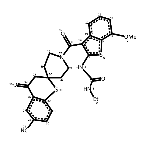 CCNC(=O)Nc1sc2c(OC)cccc2c1C(=O)N1CCC2(CC1)CC(=O)c1cc(C#N)ccc1S2